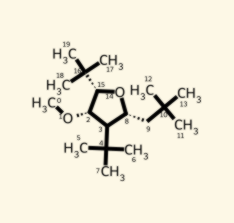 CO[C@H]1C(C(C)(C)C)[C@@H](CC(C)(C)C)O[C@H]1C(C)(C)C